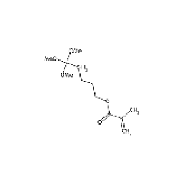 C=C(C)C(=O)OCCC[SiH2]C(OC)(OC)OC